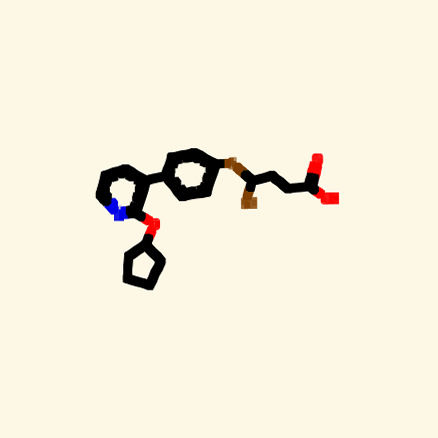 O=C(O)CCC(S)Sc1ccc(-c2cccnc2OC2CCCC2)cc1